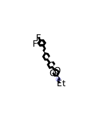 CC/C=C/[C@H]1CO[C@H]([C@H]2CC[C@H]([C@H]3CC[C@H](CCc4ccc(F)c(F)c4)CC3)CC2)OC1